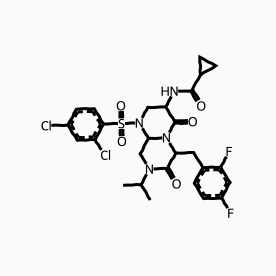 CC(C)N1CC2N(C(=O)C(NC(=O)C3CC3)CN2S(=O)(=O)c2ccc(Cl)cc2Cl)C(Cc2ccc(F)cc2F)C1=O